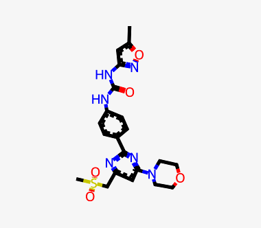 Cc1cc(NC(=O)Nc2ccc(-c3nc(CS(C)(=O)=O)cc(N4CCOCC4)n3)cc2)no1